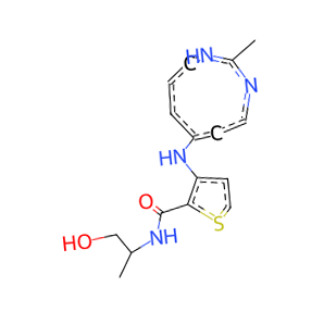 Cc1nccc(Nc2ccsc2C(=O)NC(C)CO)ccc[nH]1